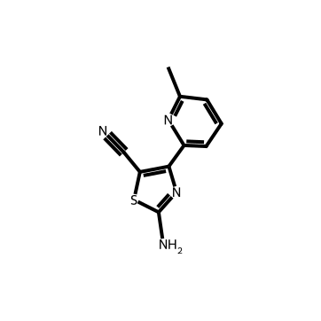 Cc1cccc(-c2nc(N)sc2C#N)n1